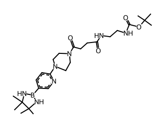 CC(C)(C)OC(=O)NCCNC(=O)CCC(=O)N1CCN(c2ccc(B3NC(C)(C)C(C)(C)N3)cn2)CC1